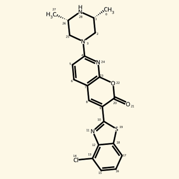 C[C@@H]1CN(c2ccc3cc(-c4nc5c(Cl)cccc5s4)c(=O)oc3n2)C[C@H](C)N1